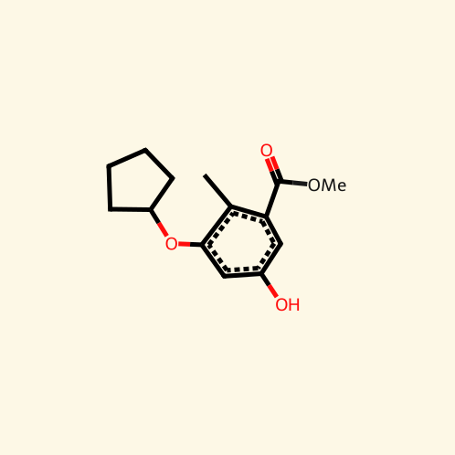 COC(=O)c1cc(O)cc(OC2CCCC2)c1C